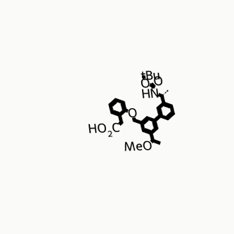 COC(C)c1cc(COc2ccccc2CC(=O)O)cc(-c2cccc([C@@H](C)NC(=O)OC(C)(C)C)c2)c1